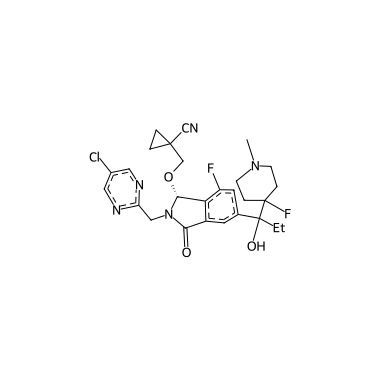 CCC(O)(c1cc(F)c2c(c1)C(=O)N(Cc1ncc(Cl)cn1)[C@@H]2OCC1(C#N)CC1)C1(F)CCN(C)CC1